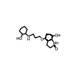 O=C1CCc2c(OCCCNC3CCCCC3O)ccc(O)c2N1